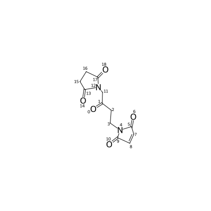 O=C(CCN1C(=O)C=CC1=O)CN1C(=O)CCC1=O